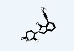 CC#Cc1cccc2c1C(=O)N(C1CCC(=O)NC1=O)C2